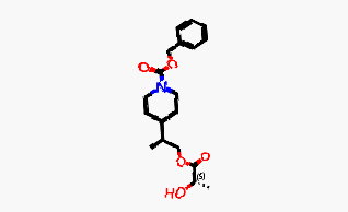 CC(COC(=O)[C@H](C)O)C1CCN(C(=O)OCc2ccccc2)CC1